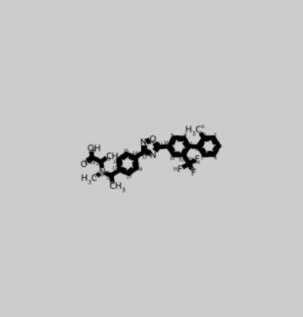 Cc1ccccc1-c1ccc(-c2nc(-c3ccc(C(C)N(C)C(C)C(=O)O)cc3)no2)cc1C(F)(F)F